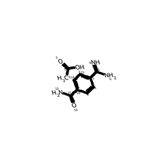 CC(=O)O.N=C(N)c1ccc(C(N)=O)cc1